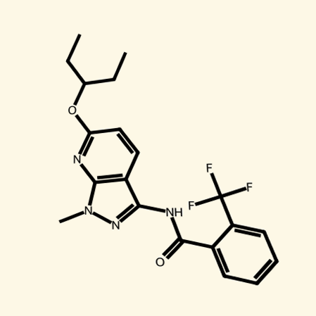 CCC(CC)Oc1ccc2c(NC(=O)c3ccccc3C(F)(F)F)nn(C)c2n1